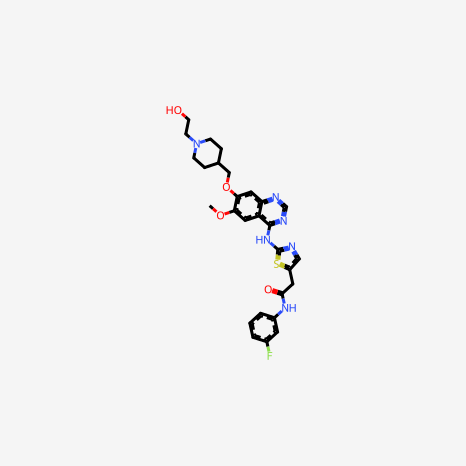 COc1cc2c(Nc3ncc(CC(=O)Nc4cccc(F)c4)s3)ncnc2cc1OCC1CCN(CCO)CC1